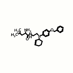 CC(C)CC(N)C(=O)NCCN(c1ccc(OCc2ccccc2)cc1)C1C=CCCC1